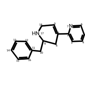 C1=C(c2ccccn2)CC(Cc2ccccc2)NC1